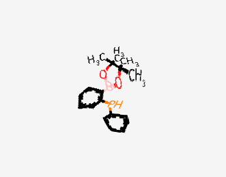 CC1(C)OB(c2ccccc2Pc2ccccc2)OC1(C)C